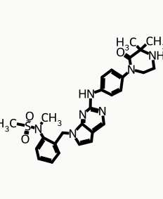 CN(c1ccccc1Cn1ccc2cnc(Nc3ccc(N4CCNC(C)(C)C4=O)cc3)nc21)S(C)(=O)=O